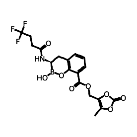 Cc1oc(=O)oc1COC(=O)c1cccc2c1OB(O)[C@@H](NC(=O)CCC(F)(F)F)C2